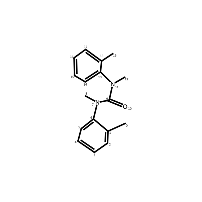 Cc1ccccc1N(C)C(=O)N(C)c1ccccc1C